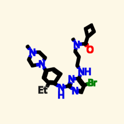 CCc1cc(N2CCN(C)CC2)ccc1Nc1ncc(Br)c(NCCCN(C)C(=O)C2CCC2)n1